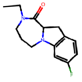 CCN1CCCN2c3cc(F)ccc3CC2C1=O